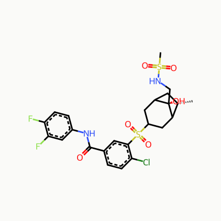 C[C@H]1CC2CC(S(=O)(=O)c3cc(C(=O)Nc4ccc(F)c(F)c4)ccc3Cl)CC1[C@@]2(O)CNS(C)(=O)=O